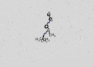 CCCN(C/C=C/C#CC(C)(C)C)Cc1cccc(/C=C/c2cc(-c3ccsc3)cs2)c1